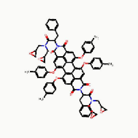 Cc1ccc(Oc2cc3c4c(cc(Oc5ccc(C)cc5)c5c6c(Oc7ccc(C)cc7)cc7c8c(cc(Oc9ccc(C)cc9)c(c2c45)c86)C(=O)N(C(Cc2ccccc2)C(=O)N(CC2CO2)CC2CO2)C7=O)C(=O)N(C(Cc2ccccc2)C(=O)N(CC2CO2)CC2CO2)C3=O)cc1